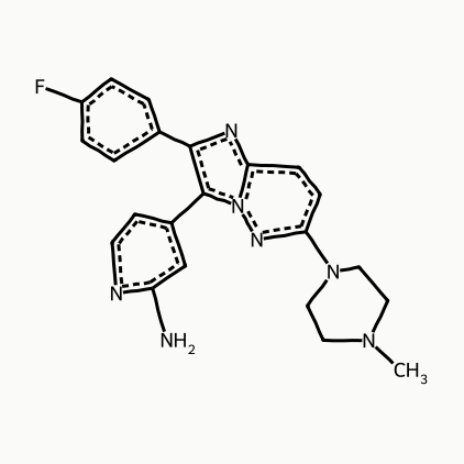 CN1CCN(c2ccc3nc(-c4ccc(F)cc4)c(-c4ccnc(N)c4)n3n2)CC1